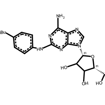 CCC(C)c1ccc(Nc2nc(N)c3ncn([C@@H]4O[C@H](CO)C(O)C4O)c3n2)cc1